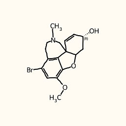 COc1cc(Br)c2c3c1OC1C[C@@H](O)C=CC31CN(C)CC2